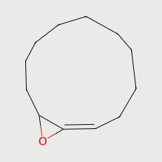 C1=C2OC2CCCCCCCCC1